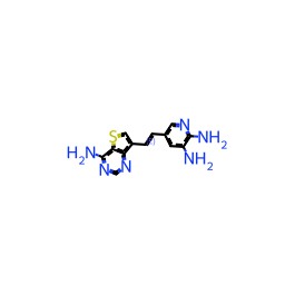 Nc1cc(/C=C/c2csc3c(N)ncnc23)cnc1N